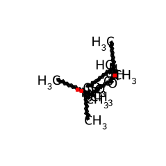 CCCCCCCCCCCCCCN(CCN(C)CCC(=O)OCCCCOC(=O)CCN(C)CCN(CC(O)CCCCCCCCCC)CC(O)CCCCCCCCCCCC)CC(CCCCCCCCCC)OC